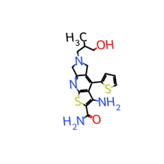 CC(CO)CN1Cc2nc3sc(C(N)=O)c(N)c3c(-c3cccs3)c2C1